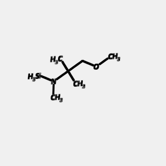 COCC(C)(C)N(C)[SiH3]